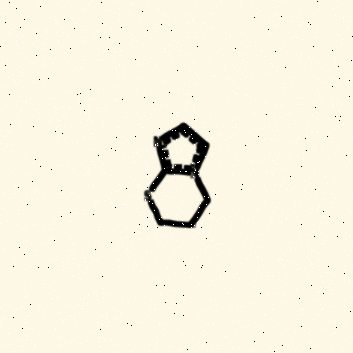 [C]1CSc2nccn2C1